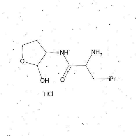 CC(C)CC(N)C(=O)N[C@H]1CCOC1O.Cl